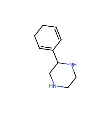 C1=CC(C2CNCCN2)=CCC1